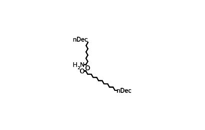 CCCCCCCCCCCCCCCCCCCCCC(=O)OC(N)CCCCCCCCCCCCCCCCC